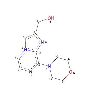 OCc1cn2ccnc(N3CCOCC3)c2n1